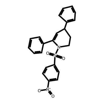 O=[N+]([O-])c1ccc(S(=O)(=O)N2CCC(c3ccccc3)C=C2c2ccccc2)cc1